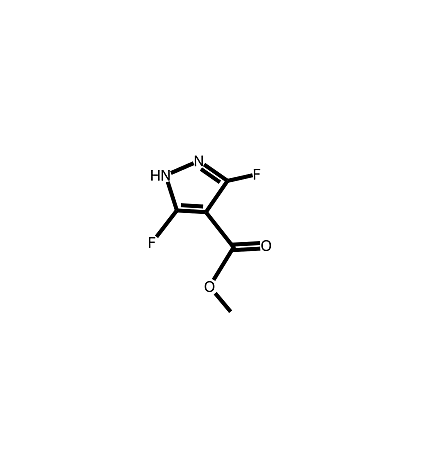 COC(=O)c1c(F)n[nH]c1F